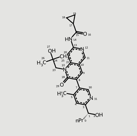 CCC[C@@H](O)c1cc(C)c(-c2cc3cnc(NC(=O)C4CC4)cc3n(CC(C)(C)O)c2=O)cn1